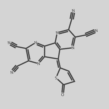 N#Cc1nc2c(nc1C#N)-c1nc(C#N)c(C#N)nc1C2=C1C=CC(=O)S1